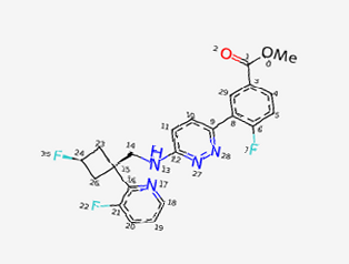 COC(=O)c1ccc(F)c(-c2ccc(NC[C@]3(c4ncccc4F)C[C@H](F)C3)nn2)c1